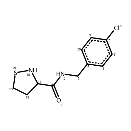 O=C(NCc1ccc(Cl)cc1)C1CCSN1